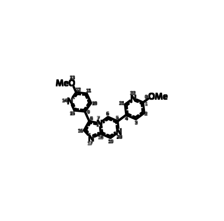 COc1ccc(-c2cn3c(-c4ccc(OC)nc4)cnc3cn2)cn1